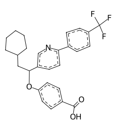 O=C(O)c1ccc(OC(CC2CCCCC2)c2ccc(-c3ccc(C(F)(F)F)cc3)nc2)cc1